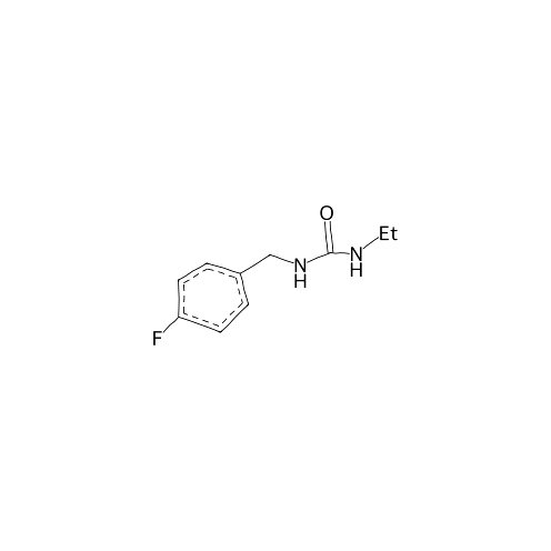 CCNC(=O)NCc1ccc(F)cc1